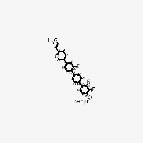 C/C=C/C1CCC(c2ccc(-c3ccc(-c4ccc(OCCCCCCC)c(F)c4F)cc3)c(F)c2)CO1